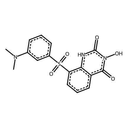 CN(C)c1cccc(S(=O)(=O)c2cccc3c(=O)n(O)c(=O)[nH]c23)c1